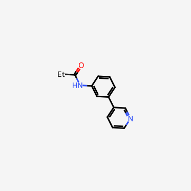 CCC(=O)Nc1cccc(-c2cccnc2)c1